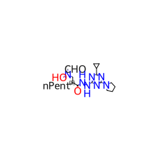 CCCCC[C@@H](CN(O)C=O)C(=O)NNc1nc(C2CC2)nc(N2CCCC2)n1